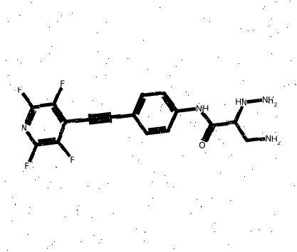 NCC(NN)C(=O)Nc1ccc(C#Cc2c(F)c(F)nc(F)c2F)cc1